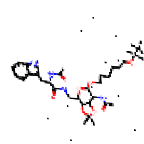 CC(=O)NC(Cc1c[nH]c2ccccc12)C(=O)NCC1OC(OCCCCCCO[Si](C)(C)C(C)(C)C)C(NC(C)=O)C2OC(C)(C)OC12